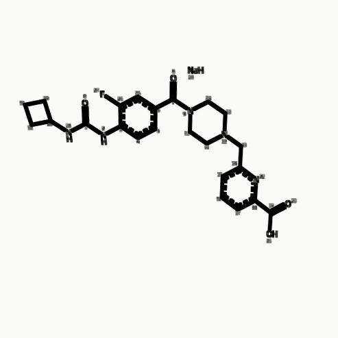 O=C(Nc1ccc(C(=O)N2CCN(Cc3cccc(C(=O)O)n3)CC2)cc1F)NC1CCC1.[NaH]